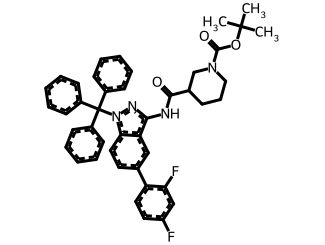 CC(C)(C)OC(=O)N1CCCC(C(=O)Nc2nn(C(c3ccccc3)(c3ccccc3)c3ccccc3)c3ccc(-c4ccc(F)cc4F)cc23)C1